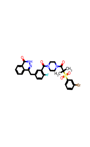 CC(C)(C(=O)N1CCN(C(=O)c2cc(Cc3n[nH]c(=O)c4ccccc34)ccc2F)CC1)S(=O)(=O)c1cccc(Br)c1